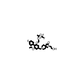 CC(=O)OC(F)(F)F.CCOc1cc(CN2CCC3(CC2)CC(=O)N(CCO)C3)cc(OCC)c1-c1ccc(F)cc1